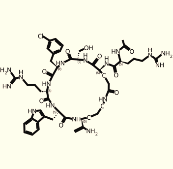 C=C(N)[C@@H]1CCCNC(=O)CC[C@H](NC(=O)[C@H](CCCNC(=N)N)NC(C)=O)C(=O)N[C@@H](CO)C(=O)N[C@H](Cc2cccc(Cl)c2)C(=O)N[C@@H](CCCNC(=N)N)C(=O)N[C@@H](Cc2c[nH]c3ccccc23)C(=O)N1